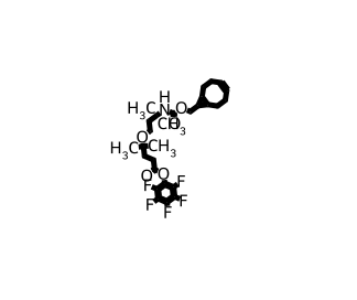 CC(C)(CCOC(C)(C)CCC(=O)Oc1c(F)c(F)c(F)c(F)c1F)NC(=O)OCC1C2CCC#CCCC21